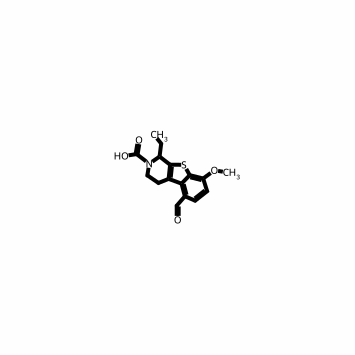 CCC1c2sc3c(OC)ccc(C=O)c3c2CCN1C(=O)O